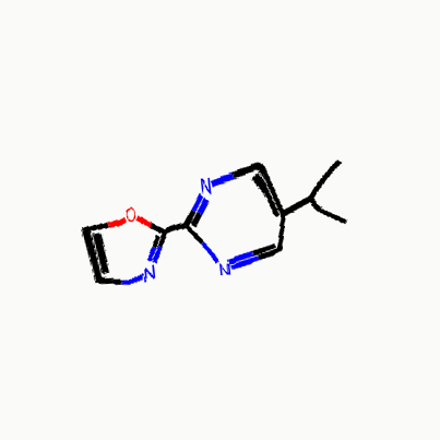 CC(C)c1cnc(-c2ncco2)nc1